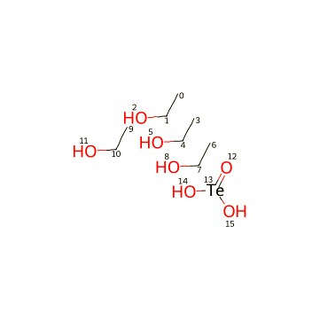 CCO.CCO.CCO.CCO.O=[Te](O)O